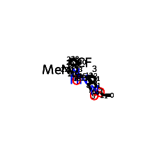 C#CCOC(=O)N1CCc2c(cccc2NCC(=O)N(CCNC)Cc2ccccc2C(F)(F)F)C1